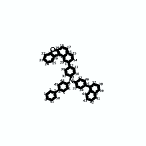 c1ccc(-c2ccc(N(c3ccc(-c4ccc5ccc6oc7ccccc7c6c5c4)cc3)c3ccc(-c4cccc5ccccc45)cc3)cc2)cc1